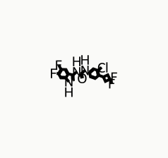 O=C(Nc1ccc(C2CC(F)(F)C2)c(Cl)c1)Nc1c[nH]c2cc(F)c(F)cc12